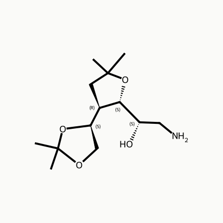 CC1(C)C[C@H]([C@H]2COC(C)(C)O2)[C@@H]([C@@H](O)CN)O1